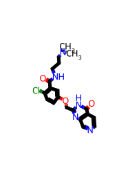 CN(C)CCCNC(=O)c1cc(OCc2nc3cnccc3c(=O)[nH]2)ccc1Cl